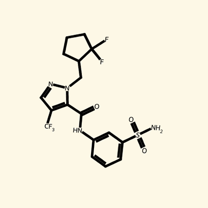 NS(=O)(=O)c1cccc(NC(=O)c2c(C(F)(F)F)cnn2CC2CCCC2(F)F)c1